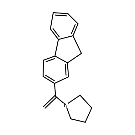 C=C(c1ccc2c(c1)Cc1ccccc1-2)N1CCCC1